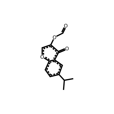 CC(C)c1ccc2occ(OC=O)c(=O)c2c1